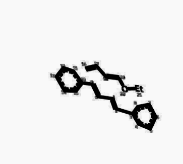 C(C=Cc1ccccc1)=Cc1ccccc1.C=CC=COCC